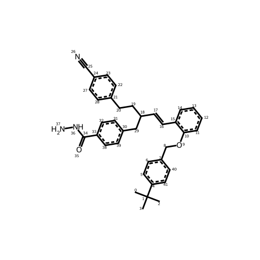 CC(C)(C)c1ccc(COc2ccccc2C=CC(CCc2ccc(C#N)cc2)Cc2ccc(C(=O)NN)cc2)cc1